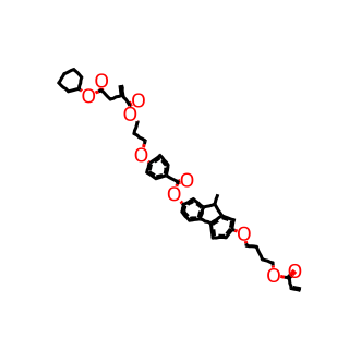 C=CC(=O)OCCCCOc1ccc2c(c1)C(C)c1cc(OC(=O)c3ccc(OCCCOC(=O)C(=C)CC(=O)OC4CCCCC4)cc3)ccc1-2